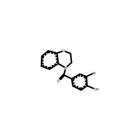 O=C(c1ccc(O)c(Br)c1)N1CCOc2ccccc21